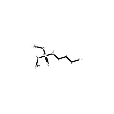 CCCOP(=O)(OCCC)OCCCF